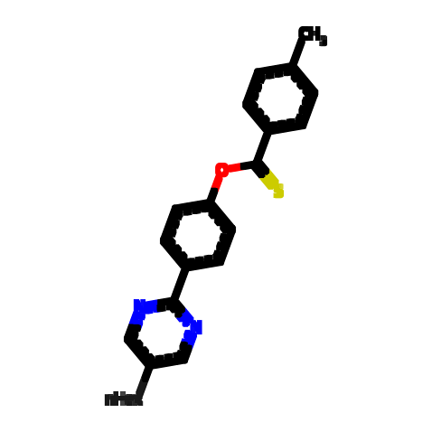 CCCCCCc1cnc(-c2ccc(OC(=S)c3ccc(C)cc3)cc2)nc1